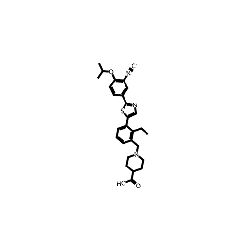 [C-]#[N+]c1cc(-c2ncc(-c3cccc(CN4CCC(C(=O)O)CC4)c3CC)s2)ccc1OC(C)C